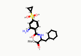 COC(=O)C(CC1CCCCC1)NC(=O)c1ccc(S(=O)(=O)C2CC2)cc1N